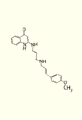 COc1ccc(/C=C/CNCCCNc2cc(=O)c3ccccc3[nH]2)cc1